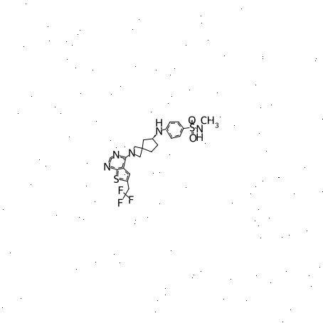 CNS(=O)(=O)c1ccc(N[C@H]2CCC3(C2)CN(c2ncnc4sc(CC(F)(F)F)cc24)C3)cc1